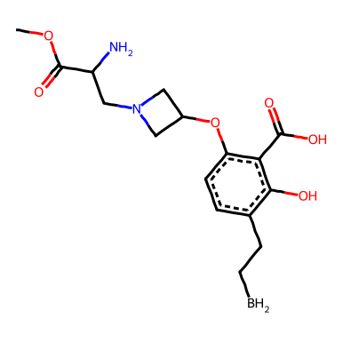 BCCc1ccc(OC2CN(CC(N)C(=O)OC)C2)c(C(=O)O)c1O